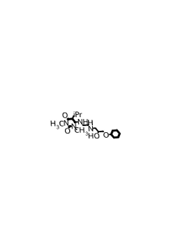 CC(C)c1c(NCCNCC(O)COc2ccccc2)n(C)c(=O)n(C)c1=O